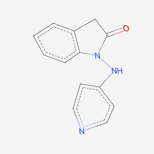 O=C1Cc2ccccc2N1Nc1ccncc1